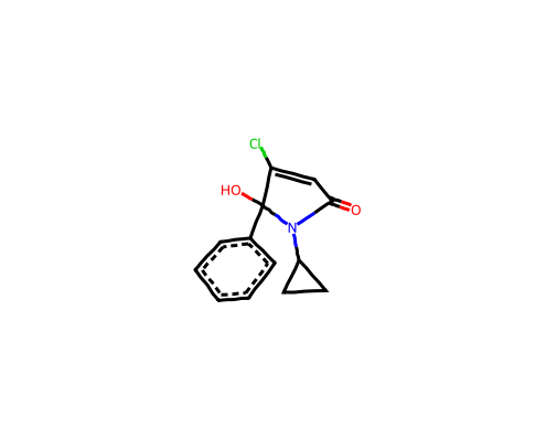 O=C1C=C(Cl)C(O)(c2ccccc2)N1C1CC1